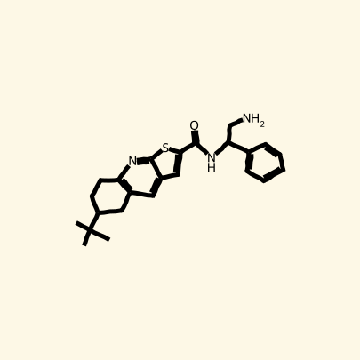 CC(C)(C)C1CCc2nc3sc(C(=O)NC(CN)c4ccccc4)cc3cc2C1